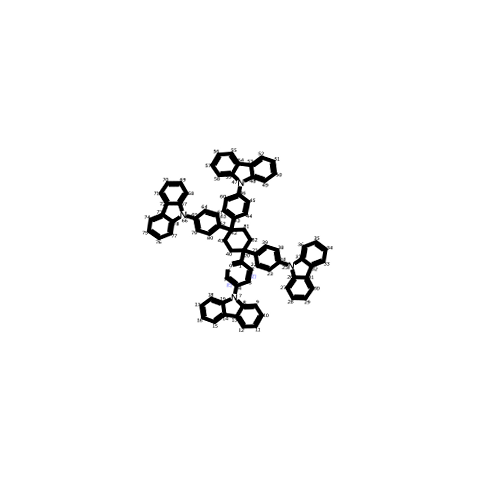 C=C(/C=C\C(=C/C)n1c2ccccc2c2ccccc21)C1(c2ccc(-n3c4ccccc4c4ccccc43)cc2)CCC(c2ccc(-n3c4ccccc4c4ccccc43)cc2)(c2ccc(-n3c4ccccc4c4ccccc43)cc2)CC1